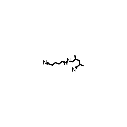 CC(C#N)CC(C)CN=NCCCCC#N